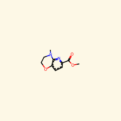 COC(=O)c1ccc2c(n1)N(C)CCO2